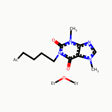 CC(=O)CCCCn1c(=O)c2c(ncn2C)n(C)c1=O.CCOCC